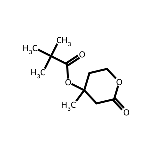 CC1(OC(=O)C(C)(C)C)CCOC(=O)C1